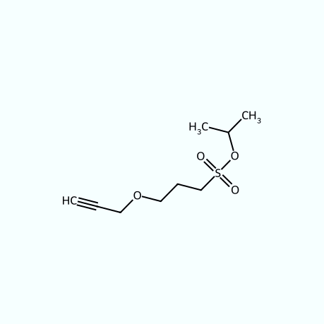 C#CCOCCCS(=O)(=O)OC(C)C